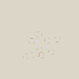 CC(C)(C)c1ccc(N2c3cc4oc5cc6ccccc6cc5c4cc3B3c4c(cc5c(oc6ccccc65)c42)-c2cc(C45CC6CC(CC(C6)C4)C5)cc4c5cc(C67CC8CC(CC(C8)C6)C7)ccc5n3c24)c(-c2ccccc2)c1